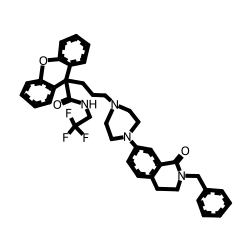 O=C1c2cc(N3CCN(CCCC4(C(=O)NCC(F)(F)F)c5ccccc5Oc5ccccc54)CC3)ccc2CCN1Cc1ccccc1